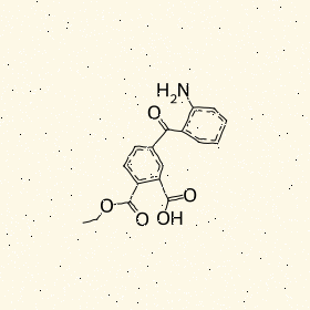 CCOC(=O)c1ccc(C(=O)c2ccccc2N)cc1C(=O)O